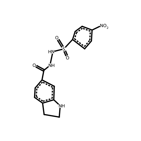 O=C(NNS(=O)(=O)c1ccc([N+](=O)[O-])cc1)c1ccc2c(c1)NCC2